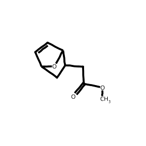 COC(=O)CC1CC2C=CC1O2